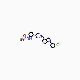 CC(C)C(=O)Nc1cccc(C2CCN(Cc3cccc4c3ccn4-c3cccc(Cl)c3)CC2)c1